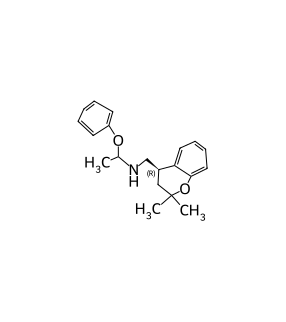 CC(NC[C@@H]1CC(C)(C)Oc2ccccc21)Oc1ccccc1